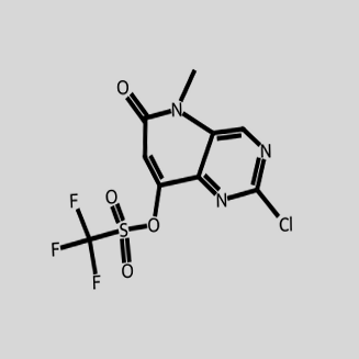 Cn1c(=O)cc(OS(=O)(=O)C(F)(F)F)c2nc(Cl)ncc21